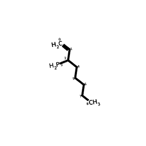 C=CC(P)CCCCC